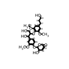 COc1cc(C(O)C(CO)Oc2c(OC)cc(CCCO)cc2OC)ccc1OC1OC2OC2=CC1O